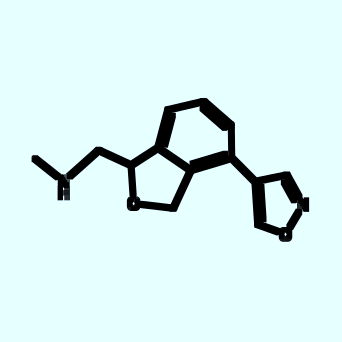 CNCC1OCc2c(-c3cnoc3)cccc21